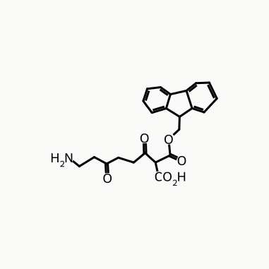 NCCC(=O)CCC(=O)C(C(=O)O)C(=O)OCC1c2ccccc2-c2ccccc21